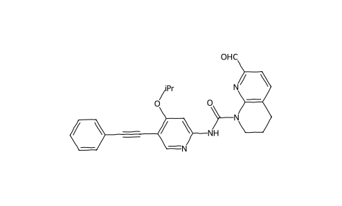 CC(C)Oc1cc(NC(=O)N2CCCc3ccc(C=O)nc32)ncc1C#Cc1ccccc1